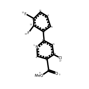 COC(=O)c1cnc(-c2cccc(F)c2F)cc1Cl